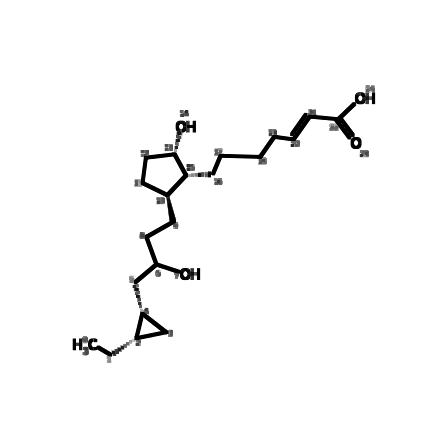 CC[C@H]1C[C@H]1CC(O)CC[C@H]1CC[C@H](O)[C@@H]1CCCCC=CC(=O)O